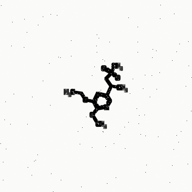 CCOc1cc(C(C)CS(C)(=O)=O)cnc1OC